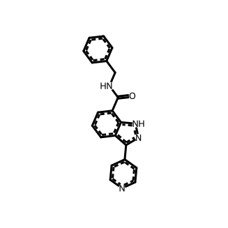 O=C(NCc1ccccc1)c1cccc2c(-c3ccncc3)n[nH]c12